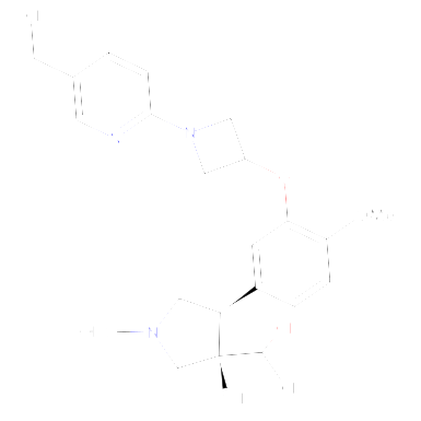 COc1ccc([C@@H]2CN(C=O)C[C@@]2(C)C(C)O)cc1OC1CN(c2ccc(CC(F)(F)F)cn2)C1